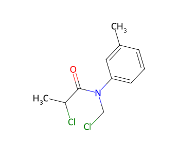 Cc1cccc(N(CCl)C(=O)C(C)Cl)c1